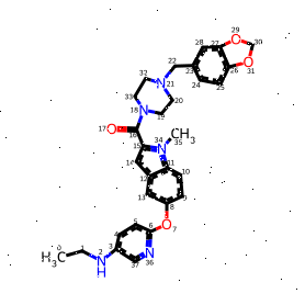 CCNc1ccc(Oc2ccc3c(c2)cc(C(=O)N2CCN(Cc4ccc5c(c4)OCO5)CC2)n3C)nc1